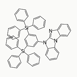 c1ccc([Si](c2ccccc2)(c2ccccc2)c2cc(-n3c4ccccc4n4c5ccccc5nc34)cc([Si](c3ccccc3)(c3ccccc3)c3ccccc3)c2)cc1